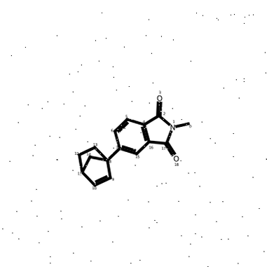 CN1C(=O)c2ccc(C34C=CC(CC3)C4)cc2C1=O